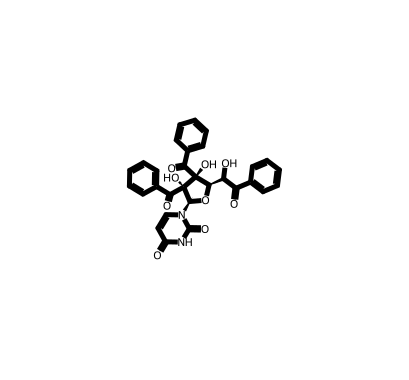 O=C(c1ccccc1)C(O)[C@H]1O[C@@H](n2ccc(=O)[nH]c2=O)[C@@](O)(C(=O)c2ccccc2)[C@]1(O)C(=O)c1ccccc1